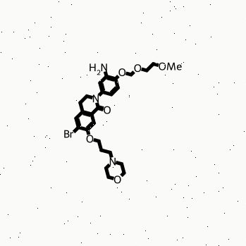 COCCOCOc1ccc(N2CCc3cc(Br)c(OCCCN4CCOCC4)cc3C2=O)cc1N